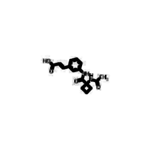 CC(=O)NC1(C(=O)Nc2cccc(/C=C/C(=O)O)c2)CCC1